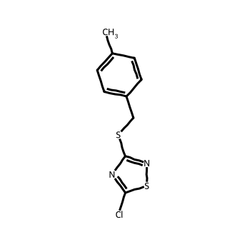 Cc1ccc(CSc2nsc(Cl)n2)cc1